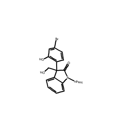 CCCCCN1C(=O)C(CO)(c2ccc(Br)cc2O)c2ccccc21